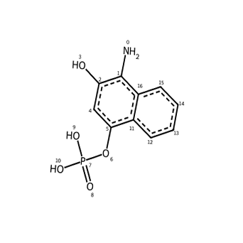 Nc1c(O)cc(OP(=O)(O)O)c2ccccc12